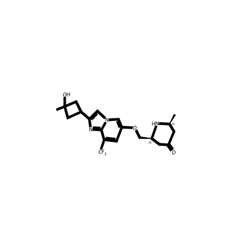 C[C@H]1CC(=O)C[C@@H](COc2cc(C(F)(F)F)c3nc(C4CC(C)(O)C4)cn3c2)N1